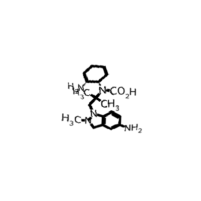 CN1Cc2cc(N)ccc2N1CC(C)(C)N(C(=O)O)[C@H]1CCCC[C@H]1N